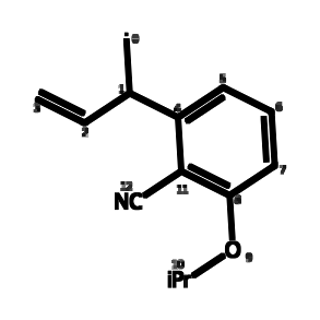 [CH2]C(C=C)c1cccc(OC(C)C)c1C#N